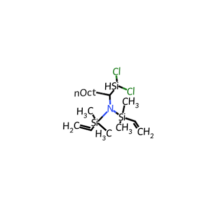 C=C[Si](C)(C)N(C(CCCCCCCC)[SiH](Cl)Cl)[Si](C)(C)C=C